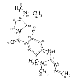 C=C/N=C(/Nc1ccc(C(=O)N2CC[C@H](N(C)C)C2)c(F)c1)N(C)C